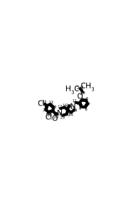 CC(C)COc1ccccc1CN1CCC2(CCN(C(=O)c3ccc(Cl)cc3Cl)CC2)C1